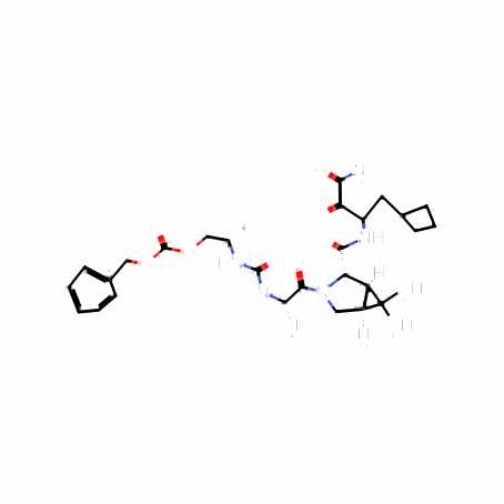 CC(C)[C@@H](COC(=O)OCc1ccccc1)NC(=O)N[C@H](C(=O)N1C[C@H]2[C@@H]([C@H]1C(=O)NC(CC1CCC1)C(=O)C(N)=O)C2(C)C)C(C)(C)C